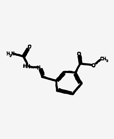 COC(=O)c1cccc(C=NNC(N)=O)c1